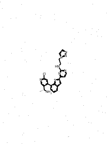 C[C@@H](N)c1cnc(Cl)cc1-c1cccc2cc(-c3ccnc(NCCn4ccnn4)n3)sc12